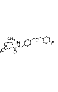 COC[C@@H](NC(C)=O)C(=O)NCc1ccc(COCc2ccc(F)cc2)cc1